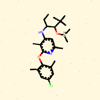 CCC(Nc1cc(C)nc(Oc2c(C)cc(Cl)cc2C)c1C)C(O[SiH](C)C)C(C)(C)C